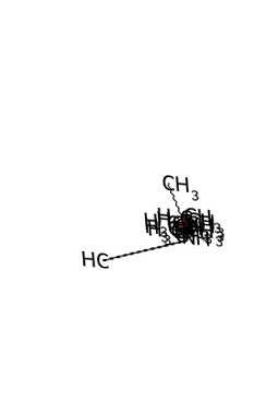 C#CC#CC#CC#CC#CC#CC#CC#CC#CC#CC#CC#CCC(=O)N[C@@H](CC)[C@H](O[Si](C)(C)C(C)(C)C)[C@@H](CCCCCCCCCCCCCC)O[Si](C)(C)C(C)(C)C